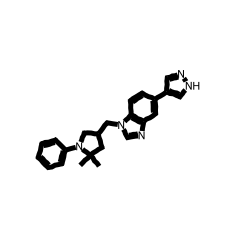 CC1(C)CC(Cn2cnc3cc(-c4cn[nH]c4)ccc32)CN1c1[c]cccc1